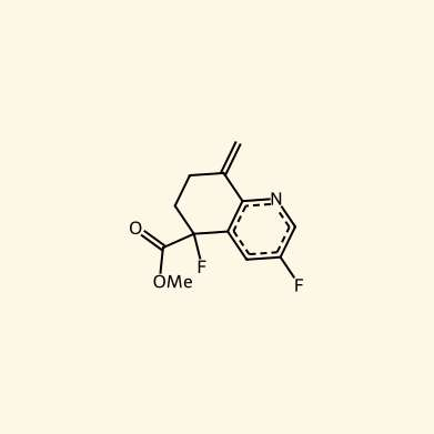 C=C1CCC(F)(C(=O)OC)c2cc(F)cnc21